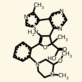 COC1CN(c2ccccc2C2=C(N)C(c3ncncc3-c3scnc3C)C(C)(C(=O)O)O2)CCN1C